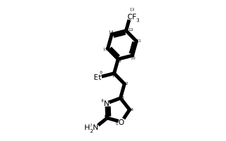 CCC(CC1COC(N)=N1)c1ccc(C(F)(F)F)cc1